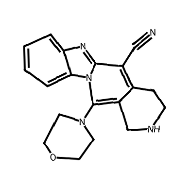 N#Cc1c2c(c(N3CCOCC3)n3c1nc1ccccc13)CNCC2